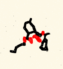 CCCCOC(=O)C1CCC(C)CC1C(=O)OC(C)c1ccccc1